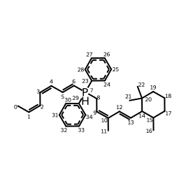 C\C=C/C=C\C=C\[PH](C/C=C(C)\C=C\C1C(C)CCCC1(C)C)(c1ccccc1)c1ccccc1